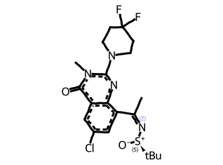 C/C(=N/[S@+]([O-])C(C)(C)C)c1cc(Cl)cc2c(=O)n(C)c(N3CCC(F)(F)CC3)nc12